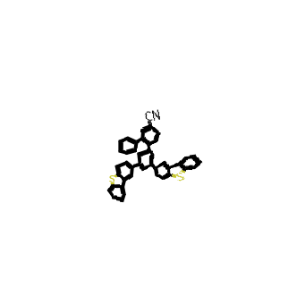 N#Cc1ccc(-c2cc(-c3ccc4sc5ccccc5c4c3)cc(-c3ccc4sc5ccccc5c4c3)c2)c(-c2ccccc2)c1